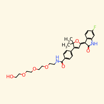 CC1(C)O/C(=C2/C(=O)Nc3cc(F)ccc32)C=C1c1ccc(C(=O)NCCOCCOCCOCCO)cc1